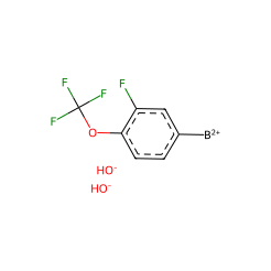 [B+2]c1ccc(OC(F)(F)F)c(F)c1.[OH-].[OH-]